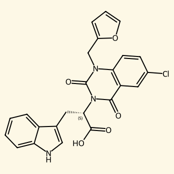 O=C(O)[C@H](Cc1c[nH]c2ccccc12)n1c(=O)c2cc(Cl)ccc2n(Cc2ccco2)c1=O